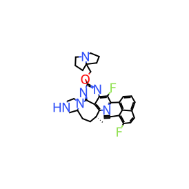 C#Cc1c(F)ccc2cccc(-c3nc4c5c(nc(OCC67CCCN6CCC7)nc5c3F)N3CCNCC3CC[C@H]4C)c12